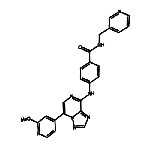 COc1cc(-c2cnc(Nc3ccc(C(=O)NCc4cccnc4)cc3)c3ncnn23)ccn1